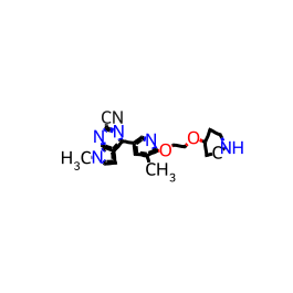 Cc1cc(-c2nc(C#N)nc3c2ccn3C)cnc1OCCOC1CCNCC1